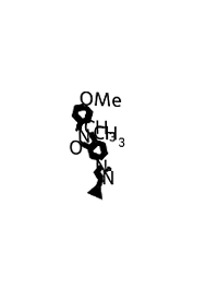 COc1ccc(CN2C(=O)c3cc(-n4cnc(C5CC5)c4)ccc3C2(C)C)cc1